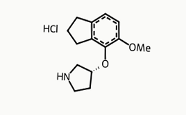 COc1ccc2c(c1O[C@@H]1CCNC1)CCC2.Cl